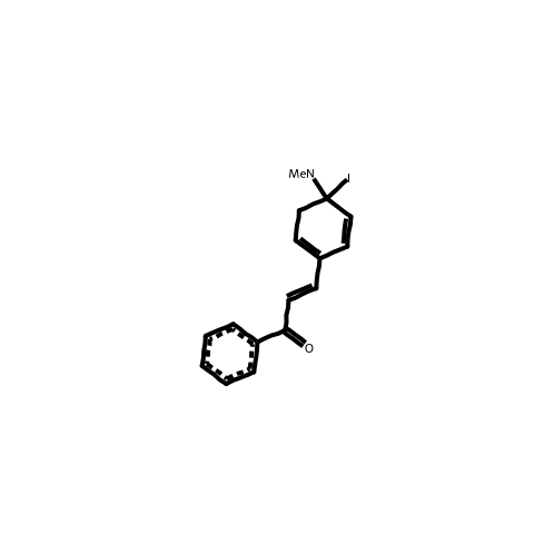 CNC1(I)C=CC(C=CC(=O)c2ccccc2)=CC1